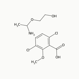 CC(N)OCCO.COc1c(Cl)ccc(Cl)c1C(=O)O